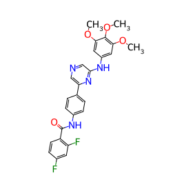 COc1cc(Nc2cncc(-c3ccc(NC(=O)c4ccc(F)cc4F)cc3)n2)cc(OC)c1OC